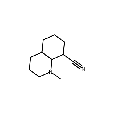 CN1CCCC2CCCC(C#N)C21